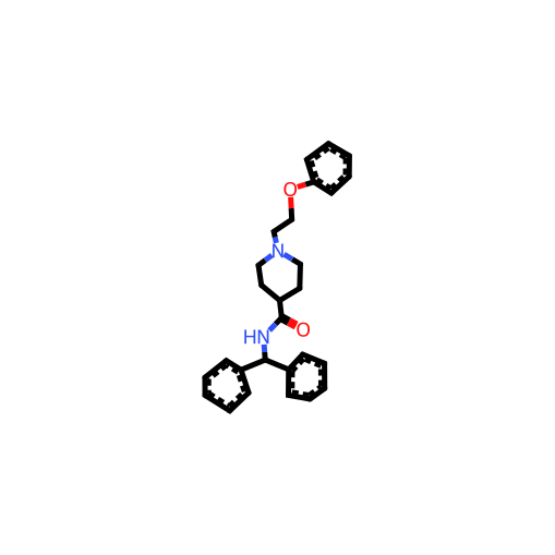 O=C(NC(c1ccccc1)c1ccccc1)C1CCN(CCOc2ccccc2)CC1